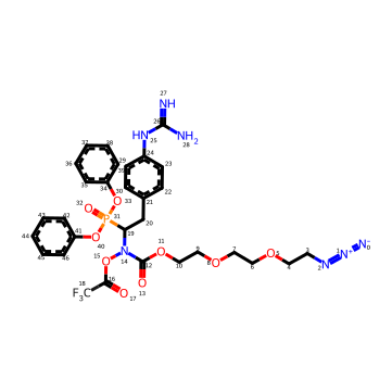 [N-]=[N+]=NCCOCCOCCOC(=O)N(OC(=O)C(F)(F)F)C(Cc1ccc(NC(=N)N)cc1)P(=O)(Oc1ccccc1)Oc1ccccc1